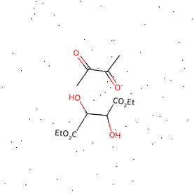 CC(=O)C(C)=O.CCOC(=O)C(O)C(O)C(=O)OCC